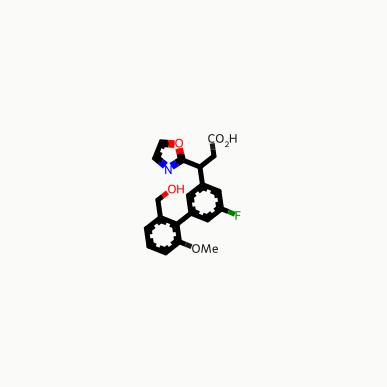 COc1cccc(CO)c1-c1cc(F)cc(C(CC(=O)O)c2ncco2)c1